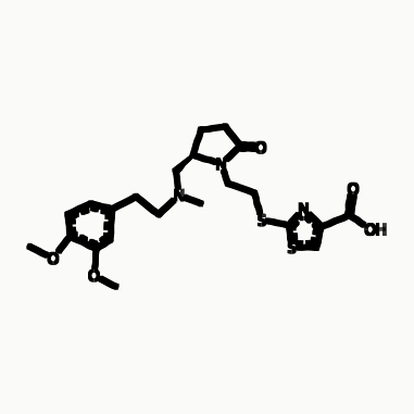 COc1ccc(CCN(C)C[C@H]2CCC(=O)N2CCSc2nc(C(=O)O)cs2)cc1OC